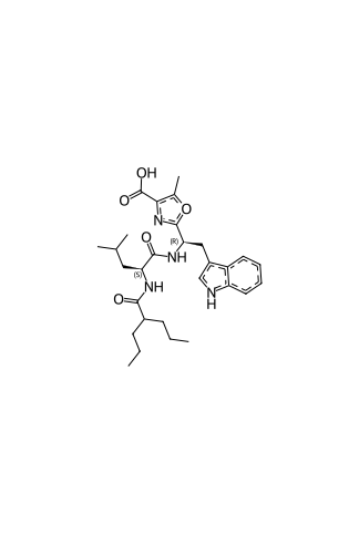 CCCC(CCC)C(=O)N[C@@H](CC(C)C)C(=O)N[C@H](Cc1c[nH]c2ccccc12)c1nc(C(=O)O)c(C)o1